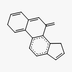 O=C1C=C2C=CCC=C2c2ccc3c(c21)CC=C3